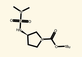 CN(C)S(=O)(=O)N[C@@H]1CCN(C(=O)OC(C)(C)C)C1